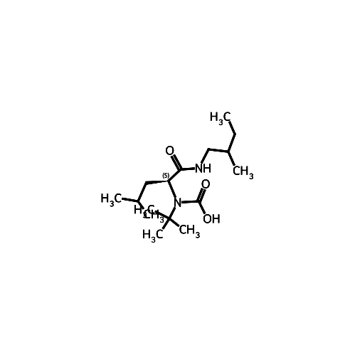 CCC(C)CNC(=O)[C@H](CC(C)C)N(C(=O)O)C(C)(C)C